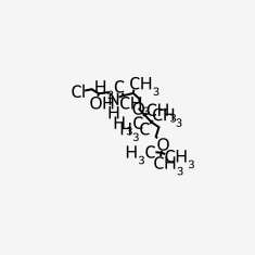 CC(COC(C)(C)C(C)(C)CCOC(C)(C)C)C(C)(C)NCC(O)CCl